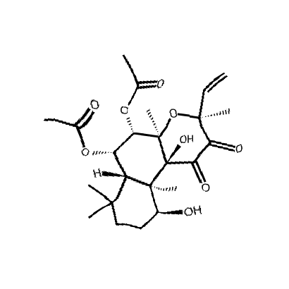 C=C[C@]1(C)O[C@]2(C)[C@@H](OC(C)=O)[C@@H](OC(C)=O)[C@H]3C(C)(C)CC[C@H](O)[C@]3(C)[C@@]2(O)C(=O)C1=O